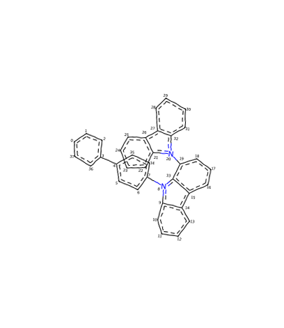 c1ccc(-c2ccc(-n3c4ccccc4c4cccc(-n5c6ccccc6c6ccccc65)c43)cc2)cc1